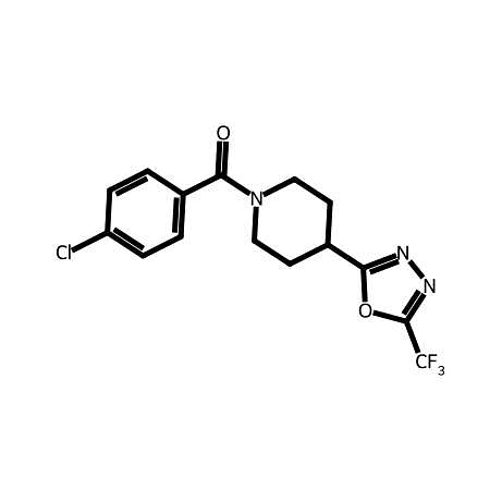 O=C(c1ccc(Cl)cc1)N1CCC(c2nnc(C(F)(F)F)o2)CC1